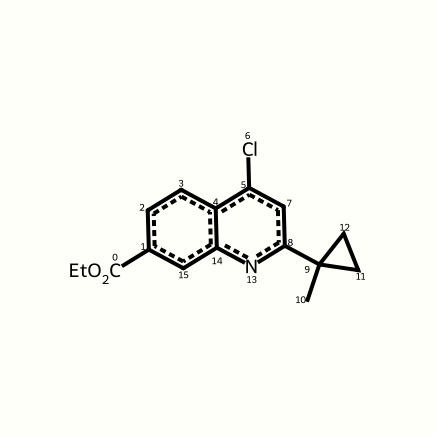 CCOC(=O)c1ccc2c(Cl)cc(C3(C)CC3)nc2c1